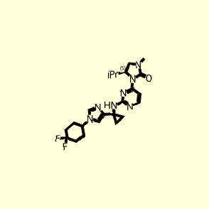 CC(C)[C@H]1CN(C)C(=O)N1c1ccnc(NC2(c3cn(C4CCC(F)(F)CC4)cn3)CC2)n1